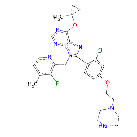 Cc1ccnc(Cn2c(-c3ccc(OCCN4CCNCC4)cc3Cl)nc3c(OC4(C)CC4)ncnc32)c1F